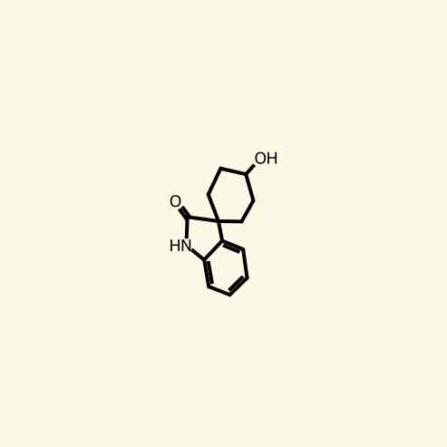 O=C1Nc2ccccc2C12CCC(O)CC2